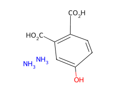 N.N.O=C(O)c1ccc(O)cc1C(=O)O